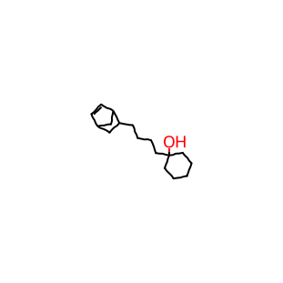 OC1(CCCCC2CC3C=CC2C3)CCCCC1